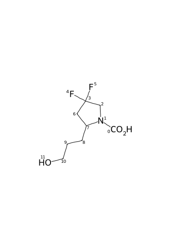 O=C(O)N1CC(F)(F)CC1CCCO